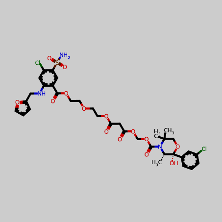 C[C@@H]1N(C(=O)OCOC(=O)CC(=O)OCCOCCOC(=O)c2cc(S(N)(=O)=O)c(Cl)cc2NCc2ccco2)C(C)(C)CO[C@@]1(O)c1cccc(Cl)c1